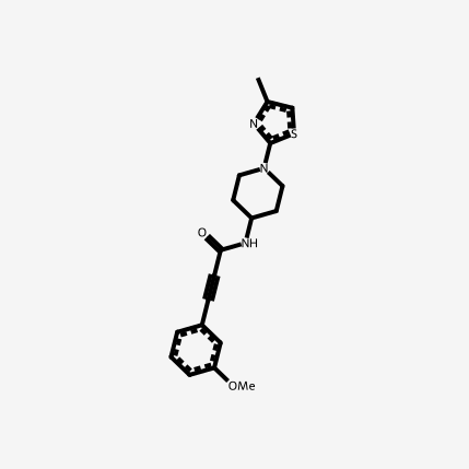 COc1cccc(C#CC(=O)NC2CCN(c3nc(C)cs3)CC2)c1